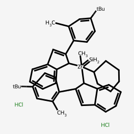 Cc1cc(C(C)(C)C)ccc1C1=Cc2ccccc2[CH]1[Zr]([CH3])(=[SiH2])([CH]1CCCCC1)[CH]1C(c2ccc(C(C)(C)C)cc2C)=Cc2ccccc21.Cl.Cl